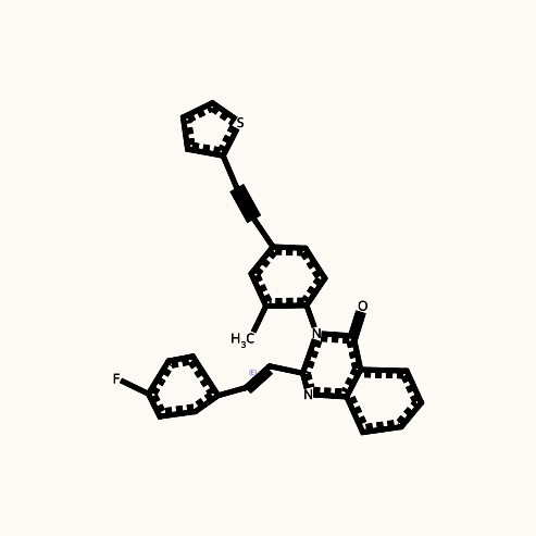 Cc1cc(C#Cc2cccs2)ccc1-n1c(/C=C/c2ccc(F)cc2)nc2ccccc2c1=O